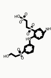 Nc1ccc(Nc2cccc(S(=O)(=O)CCO)c2)c(S(=O)(=O)CCS(=O)(=O)O)c1